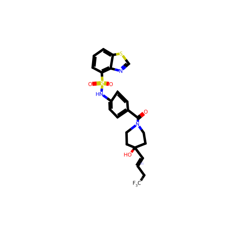 O=C(c1ccc(NS(=O)(=O)c2cccc3scnc23)cc1)N1CCC(O)(/C=C/CC(F)(F)F)CC1